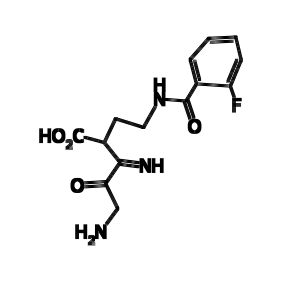 N=C(C(=O)CN)C(CCNC(=O)c1ccccc1F)C(=O)O